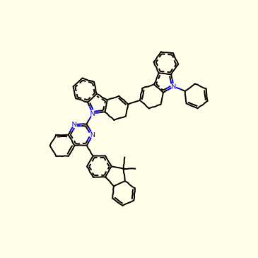 CC1(C)c2cc(-c3nc(-n4c5c(c6ccccc64)C=C(C4=Cc6c(n(C7C=CC=CC7)c7ccccc67)CC4)CC5)nc4c3=CCCC=4)ccc2C2C=CC=CC21